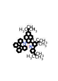 CC(C)(C)c1cc2ccc3c4c5c(c6ccc(c1)c2c36)N1c2ccccc2C(c2ccccc2)(c2ccccc2)c2cccc(c21)B5n1c2ccc(C(C)(C)C)cc2c2cc(C(C)(C)C)cc-4c21